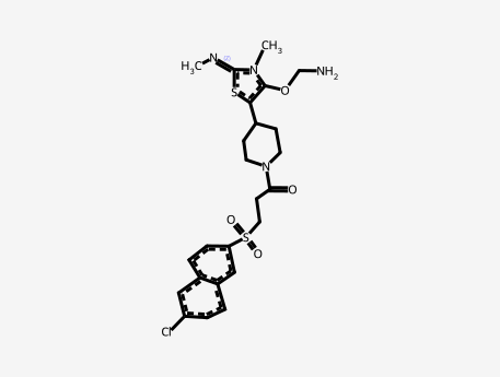 C/N=c1\sc(C2CCN(C(=O)CCS(=O)(=O)c3ccc4cc(Cl)ccc4c3)CC2)c(OCN)n1C